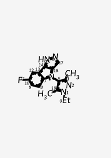 CCn1nc(C)c(-n2c3ccc(F)cc3c3[nH]ncc32)c1C